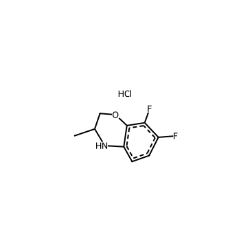 CC1COc2c(ccc(F)c2F)N1.Cl